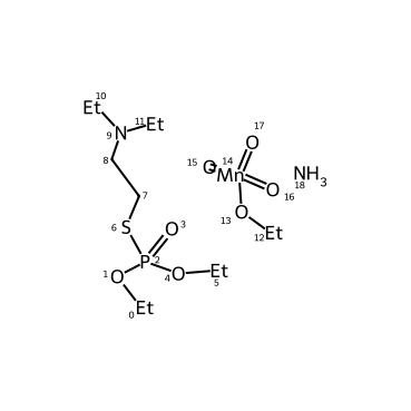 CCOP(=O)(OCC)SCCN(CC)CC.CC[O][Mn](=[O])(=[O])=[O].N